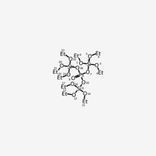 CCO[Si](OCC)(OCC)OP(=O)(O[Si](OCC)(OCC)OCC)O[Si](OCC)(OCC)OCC